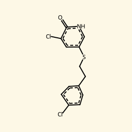 O=c1[nH]cc(SCCc2ccc(Cl)cc2)cc1Cl